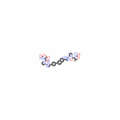 COC(=O)NC(C(=O)N1CCC[C@H]1c1ncc(-c2ccc3cc(-c4ccc(-c5cnc([C@@H]6CCCN6C(=O)[C@@H](NC(=O)OC)[C@@H](C)OC)[nH]5)cc4)ccc3c2)[nH]1)C(C)C